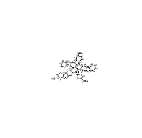 CC(C)(C)c1ccc(Nc2cc3oc4cc(C(C)(C)C)ccc4c3cc2-c2c3c4c(c5cc(C(C)(C)C)ccc5n4-c4cc5c(cc4B3)oc3ccccc35)c3oc4ccccc4c23)cc1